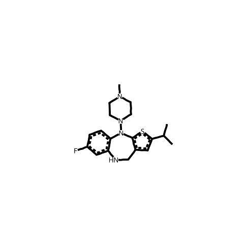 CC(C)c1cc2c(s1)N(N1CCN(C)CC1)c1ccc(F)cc1NC2